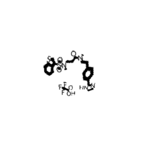 CN(CCc1ccc(C2=NCCN2)cc1)C(=O)CCN(C)S(=O)(=O)c1csc2ccccc12.O=C(O)C(F)(F)F